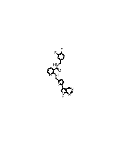 O=C(NCc1ccc(F)c(F)c1)c1cccnc1NCc1ccc(-c2c[nH]c3ncncc23)s1